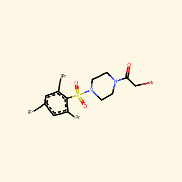 CC(C)c1cc(C(C)C)c(S(=O)(=O)N2CCN(C(=O)CBr)CC2)c(C(C)C)c1